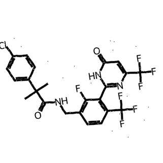 CC(C)(C(=O)NCc1ccc(C(F)(F)F)c(-c2nc(C(F)(F)F)cc(=O)[nH]2)c1F)c1ccc(Cl)cc1